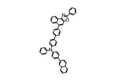 C1=CC2C=CC(c3ccc(N(c4ccccc4)c4ccc(-c5ccc(-c6cc7oc(-c8ccccc8)nc7c7ccccc67)cc5)cc4)cc3)=CC2C=C1